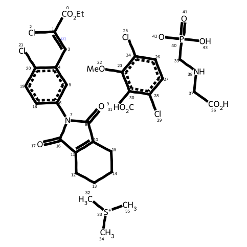 CCOC(=O)/C(Cl)=C/c1cc(N2C(=O)C3=C(CCCC3)C2=O)ccc1Cl.COc1c(Cl)ccc(Cl)c1C(=O)O.C[S+](C)C.O=C(O)CNCP(=O)([O-])O